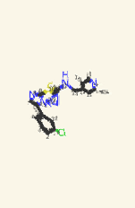 Clc1cccc(-c2cnc3sc(NCc4ccncc4)nn23)c1